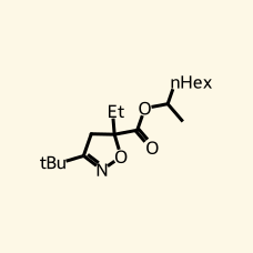 CCCCCCC(C)OC(=O)C1(CC)CC(C(C)(C)C)=NO1